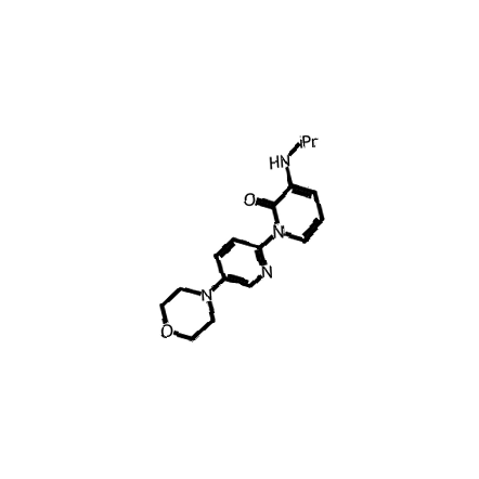 CC(C)Nc1cccn(-c2ccc(N3CCOCC3)cn2)c1=O